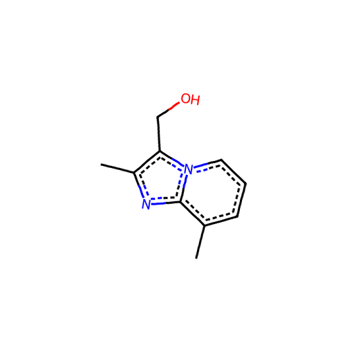 Cc1nc2c(C)cccn2c1CO